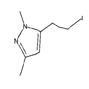 Cc1cc(CCI)n(C)n1